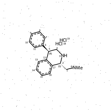 CNC[C@H]1NC[C@H](c2ccccc2)c2ccccc21.Cl.Cl